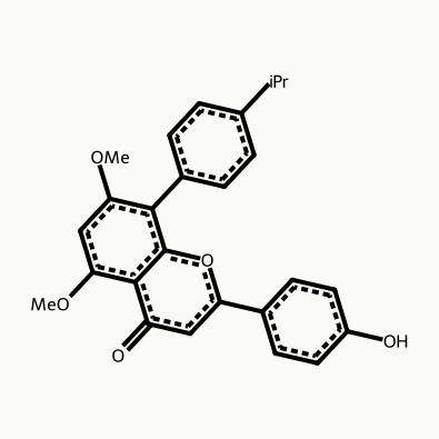 COc1cc(OC)c2c(=O)cc(-c3ccc(O)cc3)oc2c1-c1ccc(C(C)C)cc1